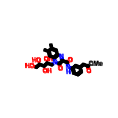 COC(=O)Cc1cccc(NC(=O)c2nc3cc(C)c(C)cc3n(C[C@H](O)[C@H](O)[C@H](O)CO)c2=O)c1